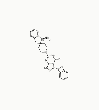 N[C@@H]1c2ccccc2CC12CCN(c1nc3[nH]nc(C4Cc5ccccc54)c3c(=O)[nH]1)CC2